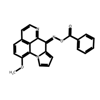 COc1ccc2ccnc3c(=NOC(=O)c4ccccc4)c4cccn4c1c23